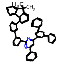 CC1(C)c2ccccc2-c2c(-c3cccc(-c4cccc(-c5nc(-c6ccccc6)cc(-c6cc(-c7ccccc7)cc(-c7ccccc7)c6)n5)c4)c3)cccc21